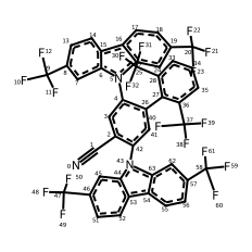 N#Cc1cc(-n2c3cc(C(F)(F)F)ccc3c3ccc(C(F)(F)F)cc32)c(-c2c(C(F)(F)F)cccc2C(F)(F)F)cc1-n1c2cc(C(F)(F)F)ccc2c2ccc(C(F)(F)F)cc21